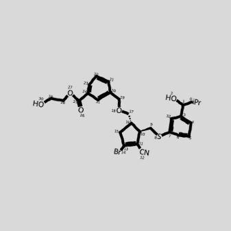 CC(C)C(O)c1cccc(SC[C@H]2C(C#N)=C(Br)C[C@@H]2COCc2cccc(C(=O)OCCO)c2)c1